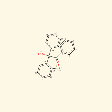 O=C(c1ccccc1)C(O)(c1ccccc1)c1ccccc1Cl